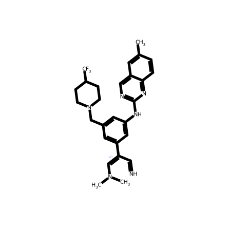 Cc1ccc2nc(Nc3cc(CN4CCC(C(F)(F)F)CC4)cc(/C(C=N)=C/N(C)C)c3)ncc2c1